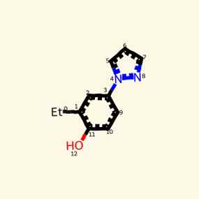 CCc1cc(-n2cccn2)ccc1O